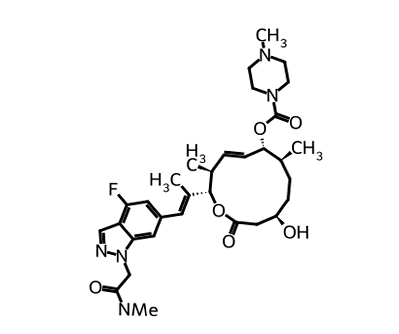 CNC(=O)Cn1ncc2c(F)cc(/C=C(\C)[C@H]3OC(=O)C[C@H](O)CC[C@H](C)[C@@H](OC(=O)N4CCN(C)CC4)/C=C/[C@@H]3C)cc21